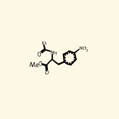 CCC(=O)NC(Cc1ccc([N+](=O)[O-])cc1)C(=O)OC